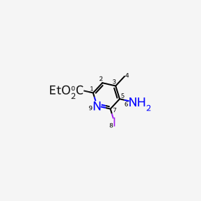 CCOC(=O)c1cc(C)c(N)c(I)n1